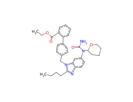 CCCCc1nc2ccc(N(C(N)=O)C3CCCCO3)cc2n1Cc1ccc(-c2ccccc2C(=O)OCC)cc1